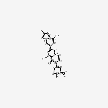 Cc1cn2cc(-c3cc(F)c4c(=O)n(C5CCNC6(CC6)C5)ccc4c3)cc(F)c2n1